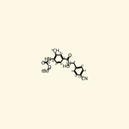 Cc1cc(C(=O)N(O)Cc2ccc(C#N)cc2)ccc1NC(=O)OC(C)(C)C